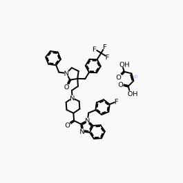 O=C(O)/C=C\C(=O)O.O=C(c1nc2ccccc2n1Cc1ccc(F)cc1)C1CCN(CCC2(Cc3ccc(C(F)(F)F)cc3)CCN(Cc3ccccc3)C2=O)CC1